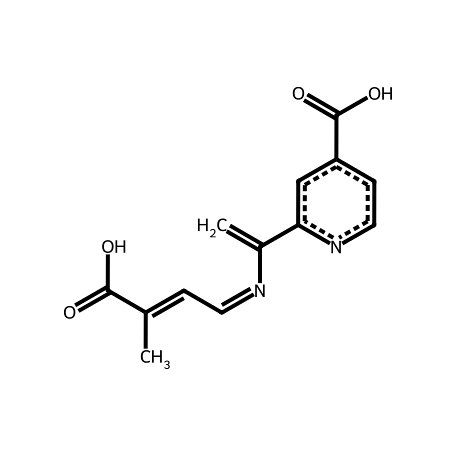 C=C(/N=C\C=C(/C)C(=O)O)c1cc(C(=O)O)ccn1